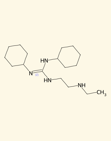 CCNCCN/C(=N/C1CCCCC1)NC1CCCCC1